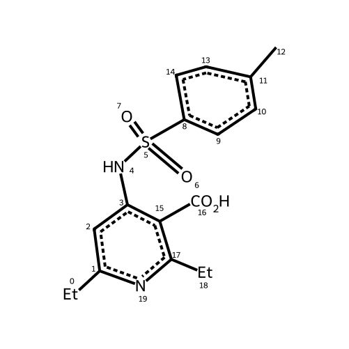 CCc1cc(NS(=O)(=O)c2ccc(C)cc2)c(C(=O)O)c(CC)n1